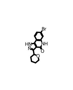 O=c1[nH]c2cc(Br)ccc2c2[nH]nc(C3CCCCO3)c12